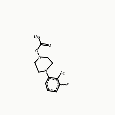 CC(=O)c1c(F)cccc1N1CCN(OC(=O)C(C)(C)C)CC1